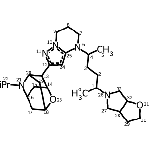 CC(CCC(C)N1CCCn2nc(C3C4CC5CC(CC3N5C(C)C)O4)cc21)N1CC2CCOC2C1